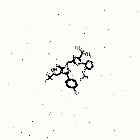 C[C@H](O)c1nc(Cn2nc(-c3ccc(Cl)cc3)n(C[C@H](O)C(F)(F)F)c2=O)nn1-c1ccccc1OC(F)F